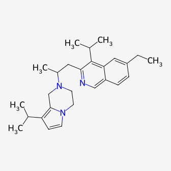 CCc1ccc2cnc(CC(C)N3CCn4ccc(C(C)C)c4C3)c(C(C)C)c2c1